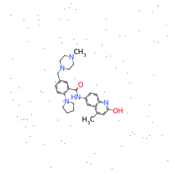 Cc1cc(O)nc2ccc(NC(=O)c3cc(CN4CCN(C)CC4)ccc3N3CCCC3)cc12